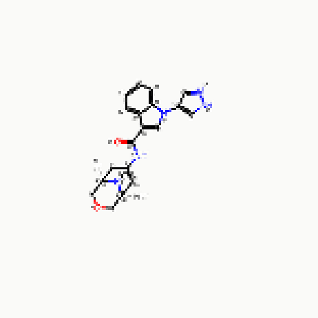 CN1[C@@H]2COC[C@H]1CC(NC(=O)c1cn(-c3cn[nH]c3)c3ccccc13)C2